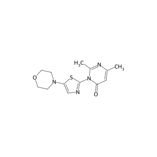 Cc1cc(=O)n(-c2ncc(N3CCOCC3)s2)c(C)n1